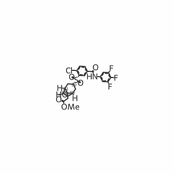 COC(=O)C[C@]1(O)[C@@H]2C[C@H](S(=O)(=O)c3cc(C(=O)Nc4cc(F)c(F)c(F)c4)ccc3Cl)C[C@H]1[C@H](C)C2